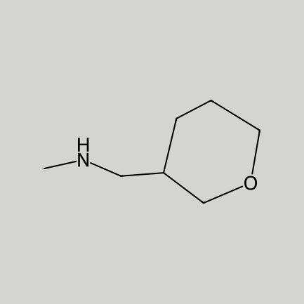 CNCC1CCCOC1